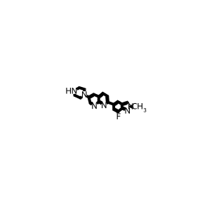 Cn1cc2cc(-c3ccc4cc(N5CCNCC5)cnc4n3)cc(F)c2n1